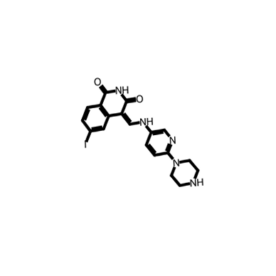 O=C1NC(=O)c2ccc(I)cc2C1=CNc1ccc(N2CCNCC2)nc1